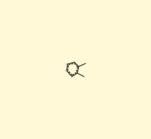 Cc1c[c][c]cc1C